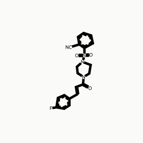 N#Cc1ccccc1S(=O)(=O)N1CCN(C(=O)C=Cc2ccc(F)cc2)CC1